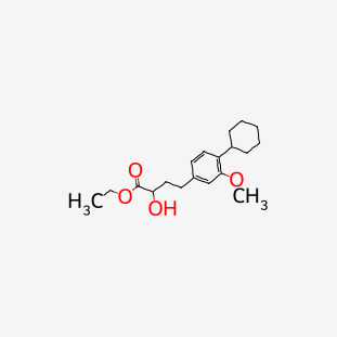 CCOC(=O)C(O)CCc1ccc(C2CCCCC2)c(OC)c1